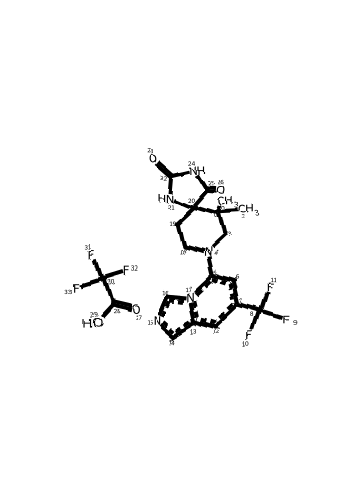 CC1(C)CN(c2cc(C(F)(F)F)cc3cncn23)CCC12NC(=O)NC2=O.O=C(O)C(F)(F)F